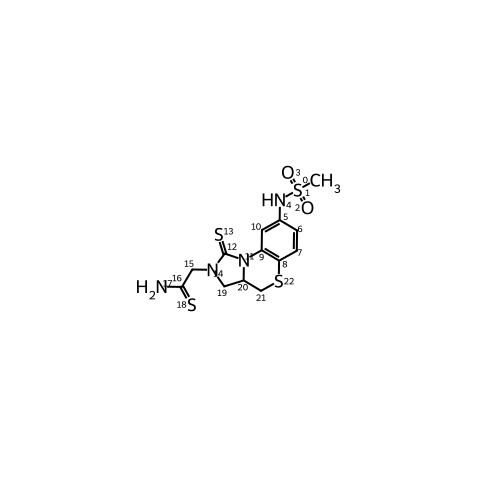 CS(=O)(=O)Nc1ccc2c(c1)N1C(=S)N(CC(N)=S)CC1CS2